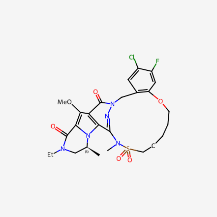 CCN1C[C@H](C)n2c(c(OC)c3c(=O)n4nc(c32)N(C)S(=O)(=O)CCCCCOc2cc(F)c(Cl)cc2C4)C1=O